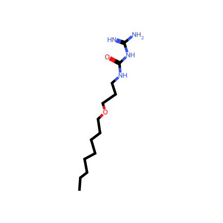 CCCCCCCCOCCCNC(=O)NC(=N)N